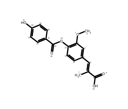 COc1cc(/C=C(\C)C(=O)O)ccc1OC(=O)c1ccc(O)cc1